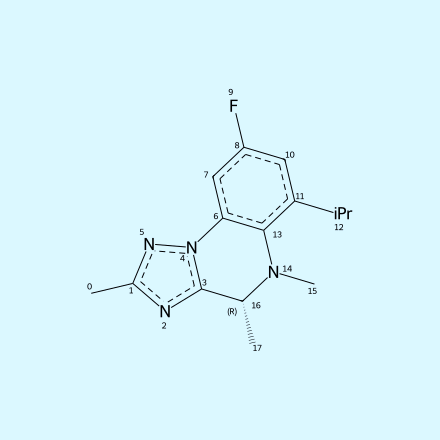 Cc1nc2n(n1)-c1cc(F)cc(C(C)C)c1N(C)[C@@H]2C